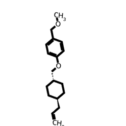 C=CC[C@H]1CC[C@H](COc2ccc(COC)cc2)CC1